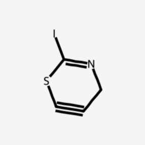 IC1=NCC#CS1